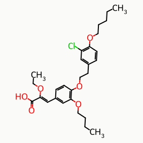 CCCCCOc1ccc(CCOc2ccc(C=C(OCC)C(=O)O)cc2OCCCC)cc1Cl